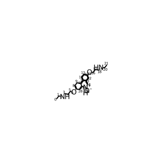 CCNCCCOC1=CCC2=c3ccc(OCCCNCC)cc3=C[NH+]([O-])C2=C1